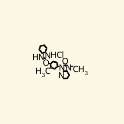 CCn1c(=O)n(-c2ccc(Oc3nc4ccccc4[nH]3)c(C)c2)c2ncccc21.Cl